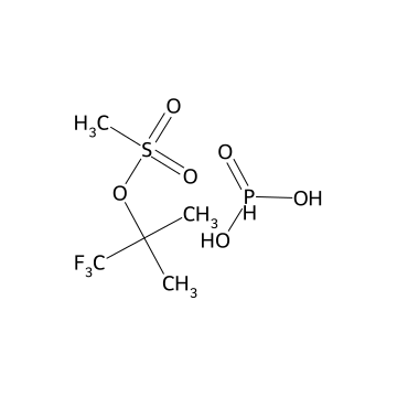 CC(C)(OS(C)(=O)=O)C(F)(F)F.O=[PH](O)O